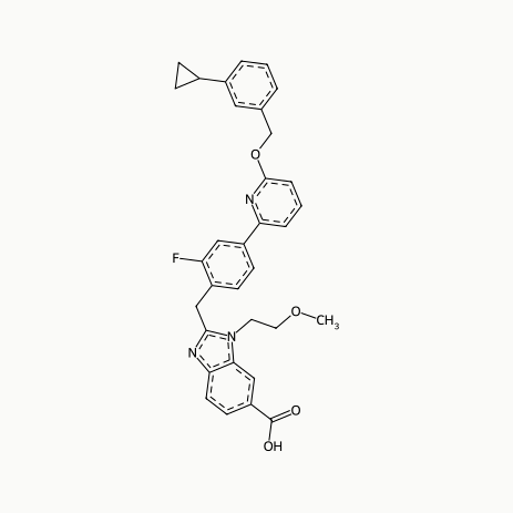 COCCn1c(Cc2ccc(-c3cccc(OCc4cccc(C5CC5)c4)n3)cc2F)nc2ccc(C(=O)O)cc21